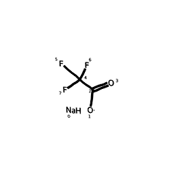 [NaH].[O]C(=O)C(F)(F)F